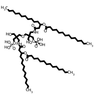 CCCCCCCCCCCCCC(=O)OC(CCCCCCCCCCC)CC(=O)NCC(CO)(COCC(CO)(CNC(=O)CC(CCCCCCCCCCC)OC(=O)CCCCCCCCCCCCC)COP(=O)(O)O)COP(=O)(O)O